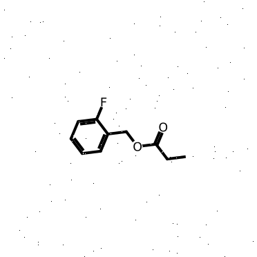 CCC(=O)OCc1ccccc1F